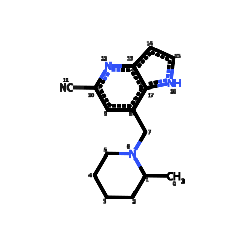 CC1CCCCN1Cc1cc(C#N)nc2cc[nH]c12